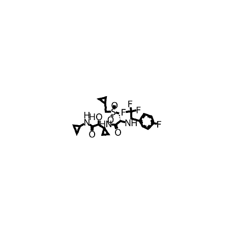 O=C(NC1CC1)C(O)C1(NC(=O)[C@H](CS(=O)(=O)CC2CC2)N[C@@H](c2ccc(F)cc2)C(F)(F)F)CC1